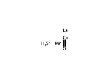 [La].[Mn].[O]=[Co].[SrH2]